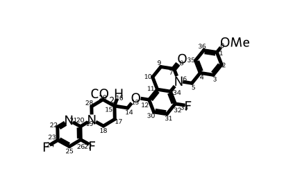 COc1ccc(CN2C(=O)CCc3c(OCC4(C(=O)O)CCN(c5ncc(F)cc5F)CC4)ccc(F)c32)cc1